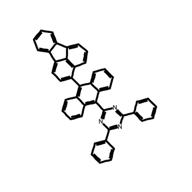 c1ccc(-c2nc(-c3ccccc3)nc(-c3c4ccccc4c(-c4ccc5c6c(cccc46)-c4ccccc4-5)c4ccccc34)n2)cc1